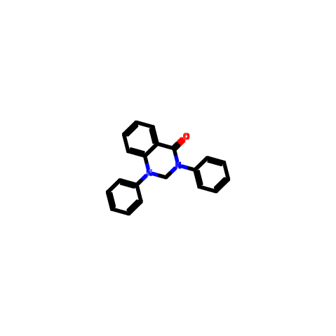 O=C1c2ccccc2N(c2ccccc2)CN1c1ccccc1